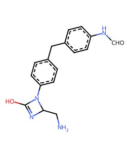 NCC1N=C(O)N1c1ccc(Cc2ccc(NC=O)cc2)cc1